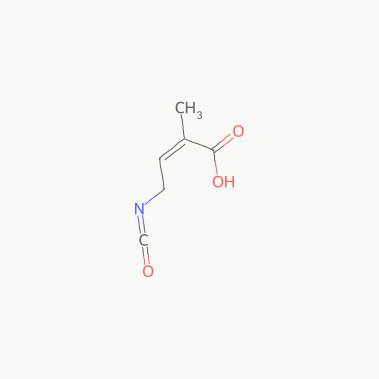 CC(=CCN=C=O)C(=O)O